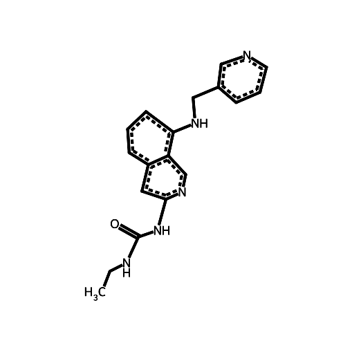 CCNC(=O)Nc1cc2cccc(NCc3cccnc3)c2cn1